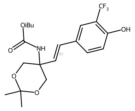 CC(C)COC(=O)NC1(/C=C/c2ccc(O)c(C(F)(F)F)c2)COC(C)(C)OC1